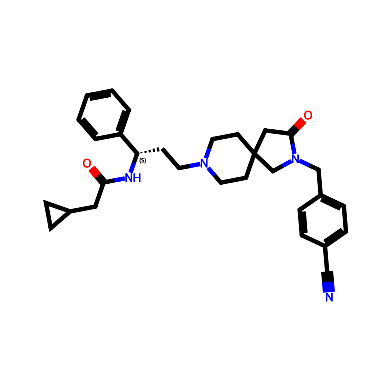 N#Cc1ccc(CN2CC3(CCN(CC[C@H](NC(=O)CC4CC4)c4ccccc4)CC3)CC2=O)cc1